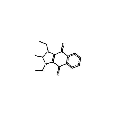 CCN1C2=C(C(=O)c3ccccc3C2=O)N(CC)C1C